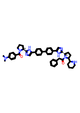 CN(C)c1ccc(C(=O)N2CCC[C@H]2c2ncc(-c3ccc(-c4ccc(-c5cnc([C@@H]6CCC(C7CCCCN7)N6C(=O)Cc6ccccc6)[nH]5)cc4)cc3)[nH]2)cc1